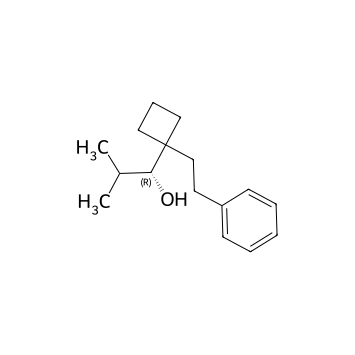 CC(C)[C@@H](O)C1(CCc2ccccc2)CCC1